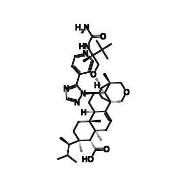 CC(C)[C@@H](C)[C@@]1(C)CC[C@]2(C)[C@H]3CC[C@@H]4[C@@]5(COC[C@@]4(C)[C@@H](OC[C@](C)(NC(N)=O)C(C)(C)C)[C@H](n4ncnc4-c4ccncc4)C5)C3=CC[C@@]2(C)[C@@H]1C(=O)O